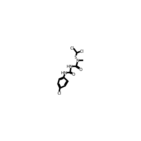 CN(SC(Cl)Cl)C(=O)NC(=O)Nc1ccc(Cl)cc1